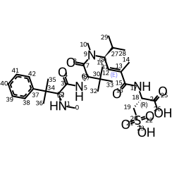 CN[C@H](C(=O)N[C@H](C(=O)N(C)[C@H](/C=C(\C)C(=O)N[C@@H](CS(=O)(=O)O)C(=O)O)C(C)C)C(C)(C)C)C(C)(C)c1ccccc1